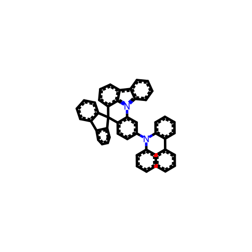 c1ccc(-c2ccccc2N(c2ccccc2)c2ccc3c(c2)-n2c4ccccc4c4cccc(c42)C32c3ccccc3-c3ccccc32)cc1